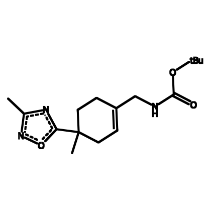 Cc1noc(C2(C)CC=C(CNC(=O)OC(C)(C)C)CC2)n1